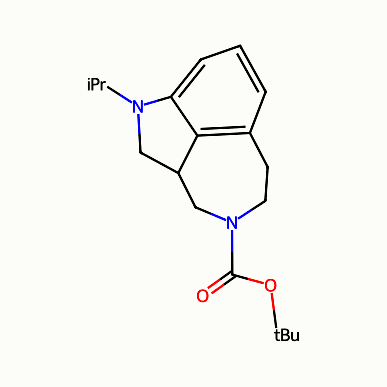 CC(C)N1CC2CN(C(=O)OC(C)(C)C)CCc3cccc1c32